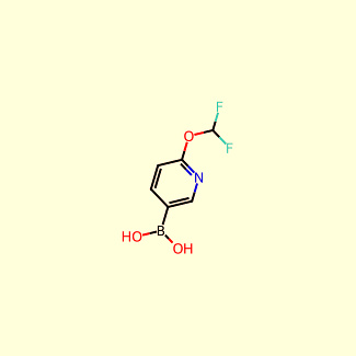 OB(O)c1ccc(OC(F)F)nc1